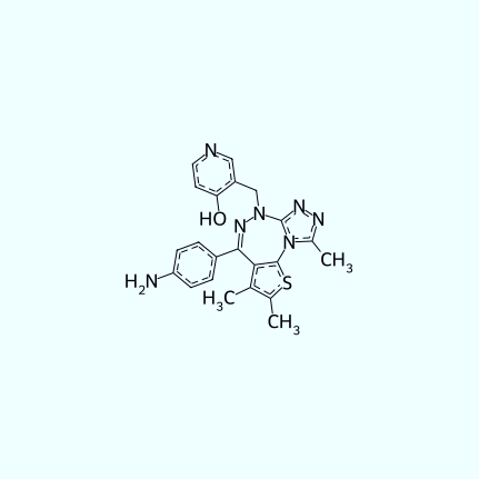 Cc1sc2c(c1C)C(c1ccc(N)cc1)=NN(Cc1cnccc1O)c1nnc(C)n1-2